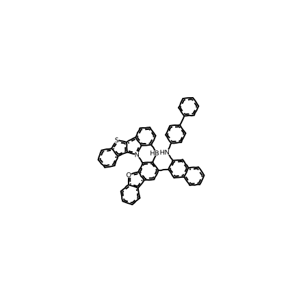 B1c2c(-c3cc4ccccc4cc3Nc3ccc(-c4ccccc4)cc3)cc3c(oc4ccccc43)c2-n2c3c1cccc3c1sc3ccccc3c12